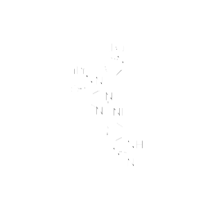 CC(C)n1c(=O)c2cnc(Nc3ccc4nc(N(C)C)[nH]c4c3)nc2n1-c1ccnc(C(C)(C)C)c1